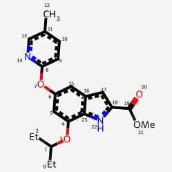 CCC(CC)Oc1cc(Oc2ccc(C)cn2)cc2cc(C(=O)OC)[nH]c12